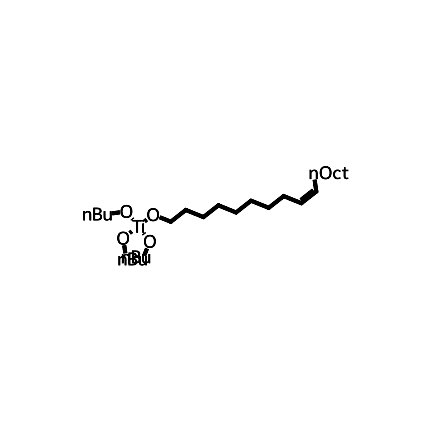 CCCCCCCC/C=C\CCCCCCCC[O][Ti]([O]CCCC)([O]CCCC)[O]CCCC